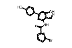 O=C(Nc1cc(-c2ccc(O)cc2)cc2[nH]ncc12)c1cccc(Br)n1